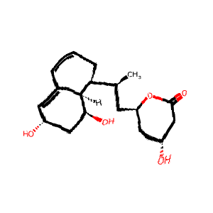 C[C@@H](C[C@@H]1C[C@@H](O)CC(=O)O1)[C@@H]1CC=CC2=C[C@@H](O)C[C@H](O)[C@@H]21